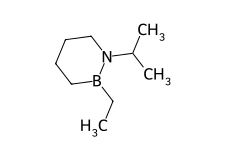 CCB1CCCCN1C(C)C